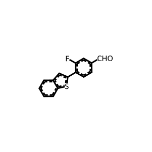 O=Cc1ccc(-c2cc3ccccc3s2)c(F)c1